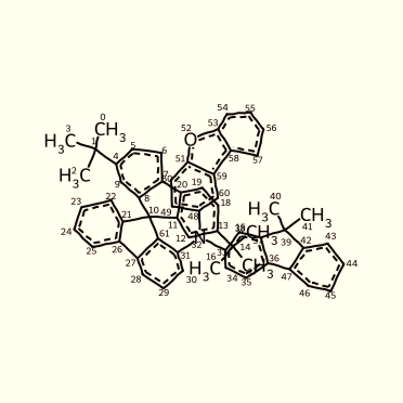 CC(C)(C)c1ccc2c(c1)C1(c3cc(C(C)(C)C)ccc3-2)c2ccccc2-c2cccc(N(c3ccc4c(c3)C(C)(C)c3ccccc3-4)c3ccc4oc5ccccc5c4c3)c21